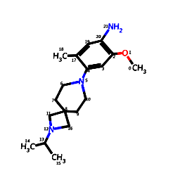 COc1cc(N2CCC3(CC2)CN(C(C)C)C3)c(C)cc1N